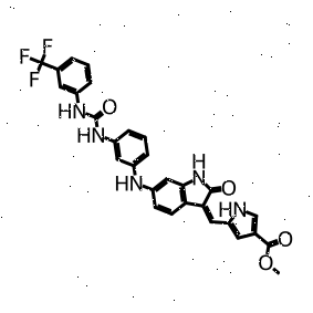 COC(=O)c1c[nH]c(C=C2C(=O)Nc3cc(Nc4cccc(NC(=O)Nc5cccc(C(F)(F)F)c5)c4)ccc32)c1